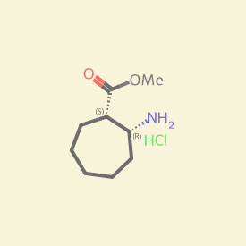 COC(=O)[C@H]1CCCCC[C@H]1N.Cl